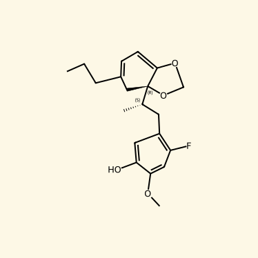 CCCC1=CC=C2OCO[C@@]2([C@@H](C)Cc2cc(O)c(OC)cc2F)C1